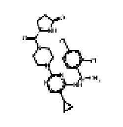 C[C@@H](Nc1nc(N2CCN(C(=O)[C@H]3CCC(=O)N3)CC2)ncc1C1CC1)c1ccc(Cl)cc1Cl